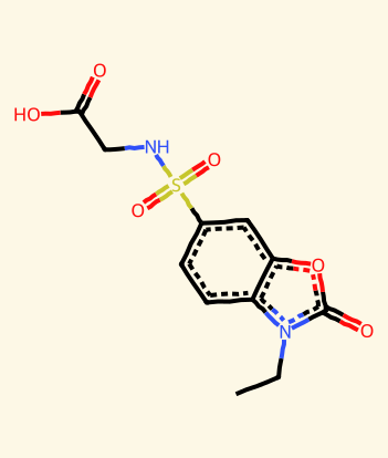 CCn1c(=O)oc2cc(S(=O)(=O)NCC(=O)O)ccc21